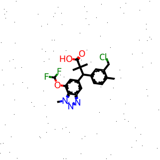 Cc1ccc(C(c2cc(OC(F)F)c3c(c2)nnn3C)C(C)(C)C(=O)O)cc1CCl